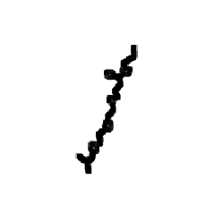 CCCOC(=O)CCCOCCOCCOCC(C)C